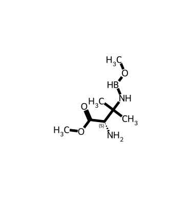 COBNC(C)(C)[C@H](N)C(=O)OC